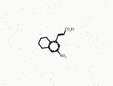 CCOC(=O)/C=C/c1cc([N+](=O)[O-])cc2c1CCCC2